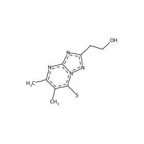 Cc1nc2nc(CCO)nn2c([S])c1C